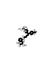 CN(C)c1ccc(C(=CC=CC(=O)Nc2cccc3c2CC(O)C(=O)N3)c2ccc(C(F)(F)F)cc2)cn1